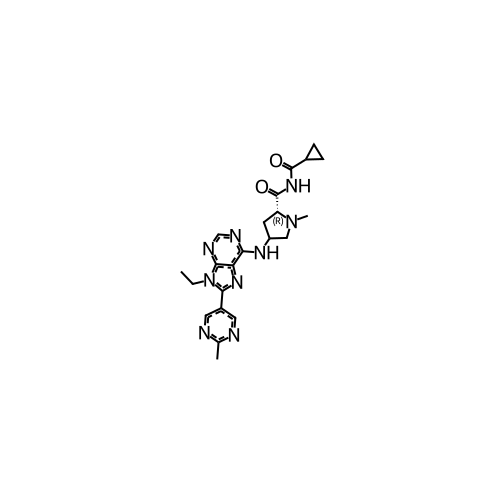 CCn1c(-c2cnc(C)nc2)nc2c(NC3C[C@H](C(=O)NC(=O)C4CC4)N(C)C3)ncnc21